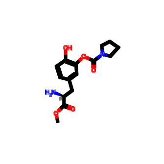 COC(=O)[C@@H](N)Cc1ccc(O)c(OC(=O)N2CCCC2)c1